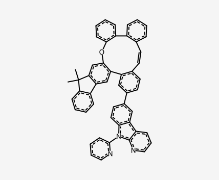 CC1(C)c2ccccc2-c2cc3c(cc21)Oc1ccccc1-c1ccccc1/C=C\c1ccc(-c2ccc4c(c2)c2cccnc2n4-c2ccccn2)cc1-3